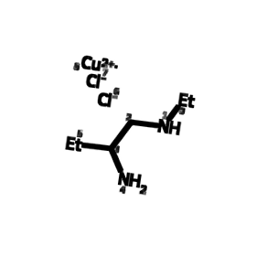 CCNCC(N)CC.[Cl-].[Cl-].[Cu+2]